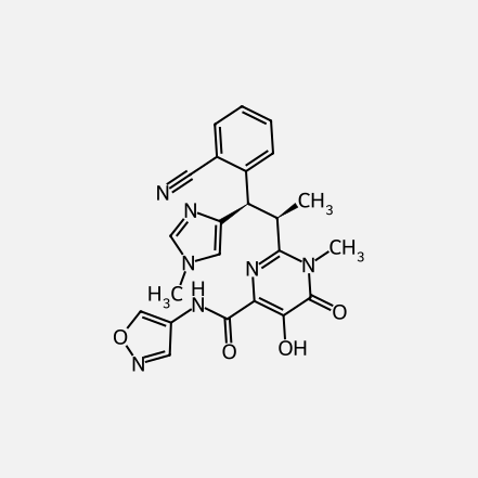 C[C@@H](c1nc(C(=O)Nc2cnoc2)c(O)c(=O)n1C)[C@@H](c1cn(C)cn1)c1ccccc1C#N